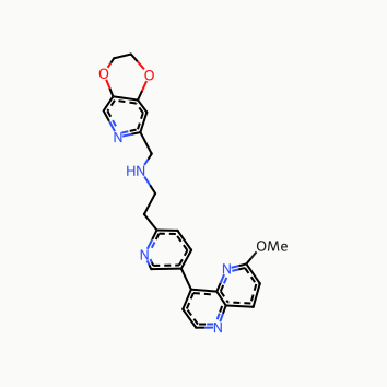 COc1ccc2nccc(-c3ccc(CCNCc4cc5c(cn4)OCCO5)nc3)c2n1